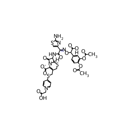 CC(=O)Oc1ccc(C(O/N=C(\C(=O)NC2C(=O)N3C(C(=O)[O-])=C(CSc4cc[n+](CC(=O)O)cc4)CS[C@H]23)c2csc(N)n2)C(=O)O)cc1OC(C)=O